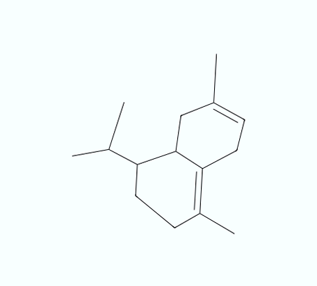 CC1=CCC2=C(C)CCC(C(C)C)C2C1